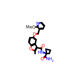 COc1ncccc1COc1ccc2oc(C)c(C(=O)NC3(C(N)=O)CCC3)c2c1